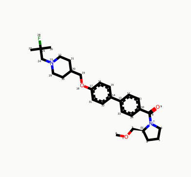 COC[C@@H]1CCCN1C(=O)c1ccc(-c2ccc(OCC3CCN(CC(C)(C)F)CC3)cc2)cc1